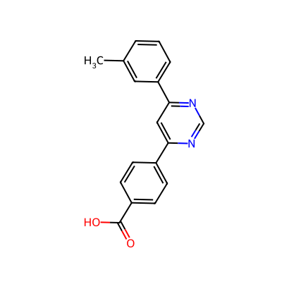 Cc1cccc(-c2cc(-c3ccc(C(=O)O)cc3)ncn2)c1